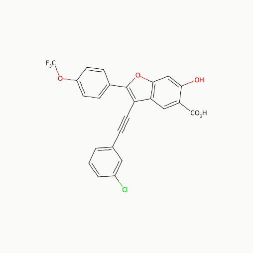 O=C(O)c1cc2c(C#Cc3cccc(Cl)c3)c(-c3ccc(OC(F)(F)F)cc3)oc2cc1O